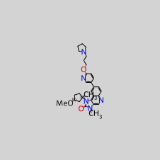 CO[C@H]1CC[C@](C)(n2c(=O)n(C)c3cnc4ccc(-c5ccc(OCCCN6CCCC6)nc5)cc4c32)C1